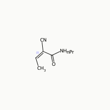 C/C=C(/C#N)C(=O)NCCC